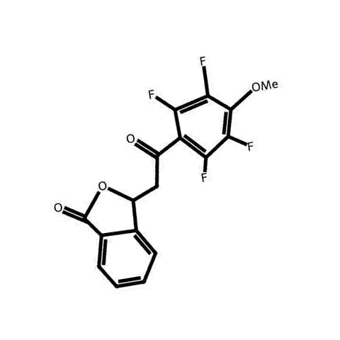 COc1c(F)c(F)c(C(=O)CC2OC(=O)c3ccccc32)c(F)c1F